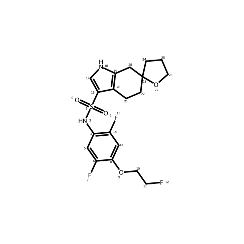 O=S(=O)(Nc1cc(F)c(OCCF)cc1F)c1c[nH]c2c1CCC1(CCCO1)C2